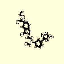 CCOC(=O)c1ccc2c(c1)C(=O)N(CCN(C=O)c1cccc(-c3nnn(C)n3)c1)C2